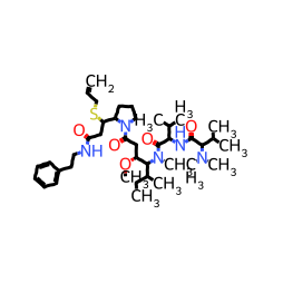 C=CCSC(CC(=O)NCCc1ccccc1)C1CCCN1C(=O)CC(OC)C(C(C)CC)N(C)C(=O)C(NC(=O)C(C(C)C)N(C)C)C(C)C